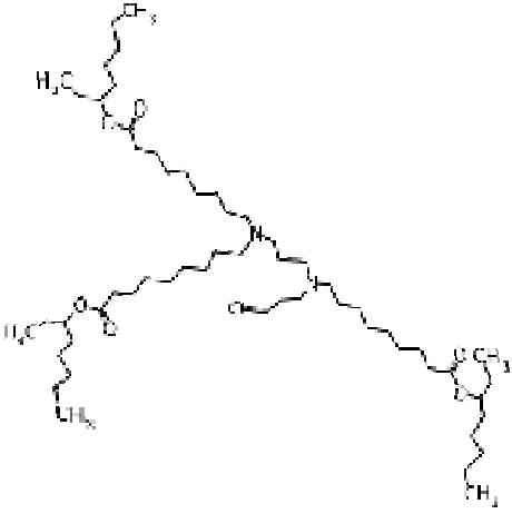 CCCCCC(CC)OC(=O)CCCCCCCCN(CCC=O)CCCN(CCCCCCCCC(=O)OC(CC)CCCCC)CCCCCCCCC(=O)OC(CC)CCCCC